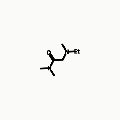 CCN(C)CC(=O)N(C)C